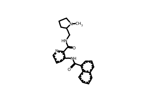 CN1CCCC1CNC(=O)c1ncccc1NC(=O)c1cccc2ccccc12